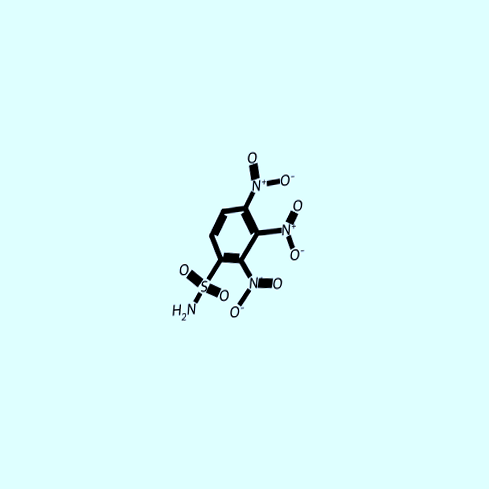 NS(=O)(=O)c1ccc([N+](=O)[O-])c([N+](=O)[O-])c1[N+](=O)[O-]